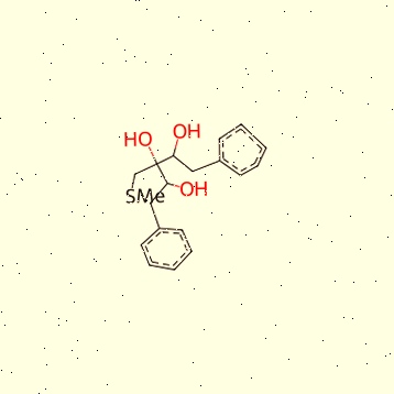 CSCC(O)(C(O)Cc1ccccc1)C(O)Cc1ccccc1